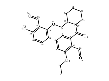 CCOc1cccc(C(=O)N2CCCCC2COc2cccc(O)c2C=O)c1C=O